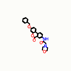 O=C(CN1CCOCC1)Nc1ccc2c(c1)c(=O)oc1cc(OCc3ccccc3)ccc12